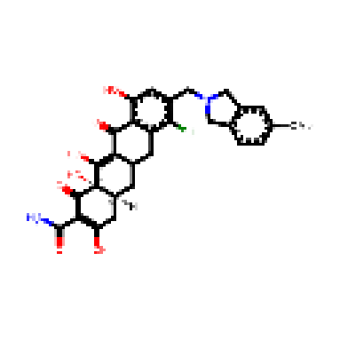 COc1ccc2c(c1)CN(Cc1cc(O)c3c(c1Cl)CC1C[C@H]4CC(O)=C(C(N)=O)C(=O)[C@@]4(O)C(O)=C1C3=O)C2